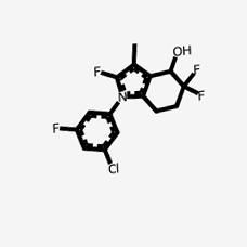 Cc1c2c(n(-c3cc(F)cc(Cl)c3)c1F)CCC(F)(F)C2O